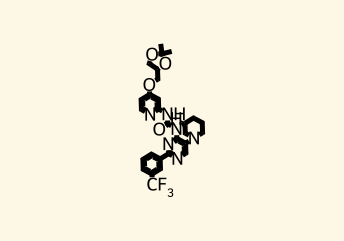 CC1(C)OCC(COc2ccnc(NC(=O)N3c4nc(-c5cccc(C(F)(F)F)c5)ncc4N4CCC[C@H]3C4)c2)O1